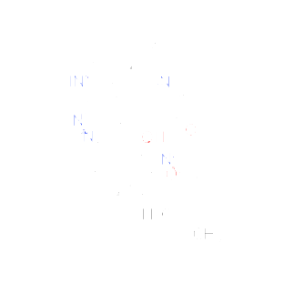 CC(C)Cc1cc(OCCN2CCC[C@@H](c3c[nH]c4nnc(-c5ccccc5O)cc34)C2)no1